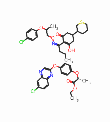 CCCC(=NOCC(C)Oc1ccc(Cl)cc1)C1=C(O)CC(C2CCCSC2)CC1=O.CCOC(=O)[C@@H](C)Oc1ccc(Oc2cnc3cc(Cl)ccc3n2)cc1